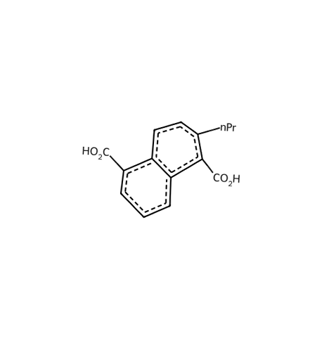 CCCc1ccc2c(C(=O)O)cccc2c1C(=O)O